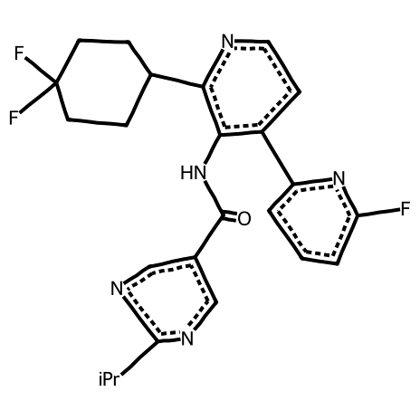 CC(C)c1ncc(C(=O)Nc2c(-c3cccc(F)n3)ccnc2C2CCC(F)(F)CC2)cn1